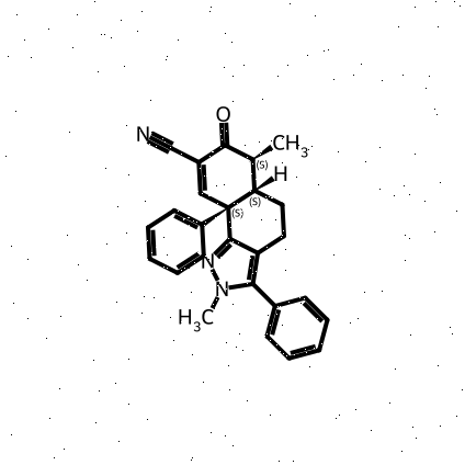 C[C@@H]1C(=O)C(C#N)=C[C@@]2(c3ccccc3)c3nn(C)c(-c4ccccc4)c3CC[C@@H]12